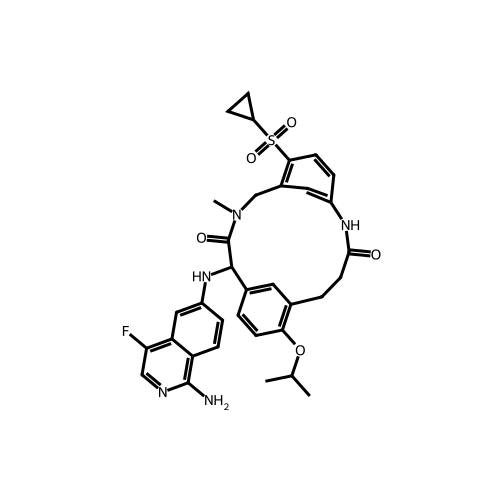 CC(C)Oc1ccc2cc1CCC(=O)Nc1ccc(S(=O)(=O)C3CC3)c(c1)CN(C)C(=O)C2Nc1ccc2c(N)ncc(F)c2c1